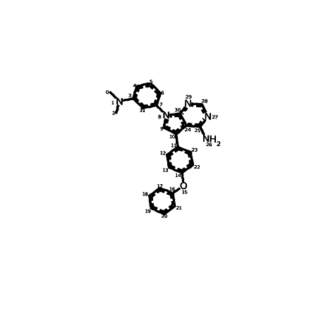 CN(C)c1cccc(-n2cc(-c3ccc(Oc4ccccc4)cc3)c3c(N)ncnc32)c1